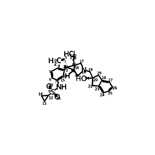 C=C[C@]1(c2cccc(NS(=O)(=O)C3CC3)c2)[C@@H]2CN(CC3(O)Cc4ccccc4C3)C[C@@H]21.Cl